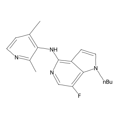 CCCCn1ccc2c(Nc3c(C)ccnc3C)ncc(F)c21